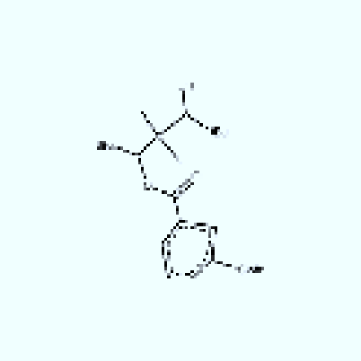 COc1cccc(C(=O)OC(C(C)(C)C)C(C)(C)C(O)C(C)(C)C)c1